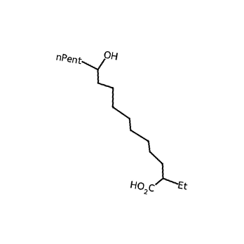 CCCCCC(O)CCCCCCCCC(CC)C(=O)O